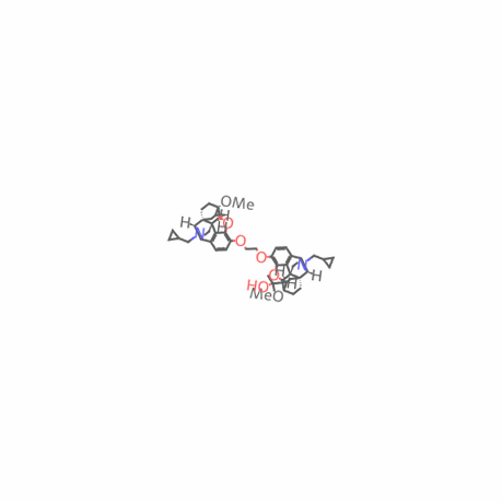 CO[C@@]12CC[C@@]3(C[C@@H]1C(C)(C)O)[C@H]1Cc4ccc(OCCOc5ccc6c7c5O[C@H]5[C@]8(OC)CC[C@@]9(C[C@@H]8C)[C@@H](C6)N(CC6CC6)CC[C@]759)c5c4[C@@]3(CCN1CC1CC1)[C@H]2O5